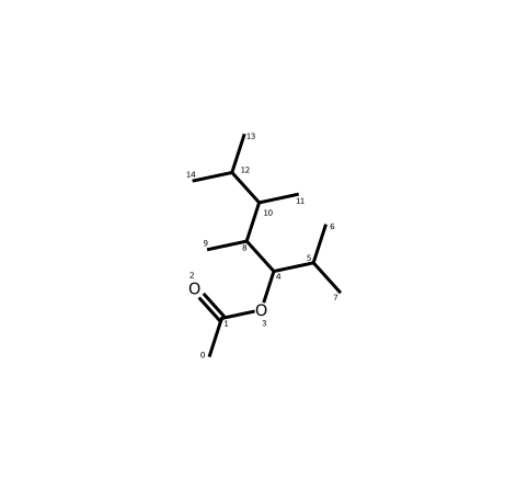 CC(=O)OC(C(C)C)C(C)C(C)C(C)C